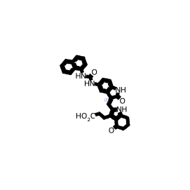 O=C(O)CCc1c(/C=C2\C(=O)Nc3ccc(NC(=O)Nc4cccc5ccccc45)cc32)[nH]c2c1C(=O)CCC2